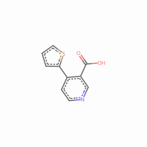 O=C(O)c1cnccc1-c1cccs1